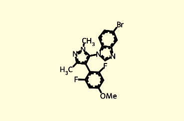 COc1cc(F)c(-c2c(C)nn(C)c2-n2cnc3cc(Br)ccc32)c(F)c1